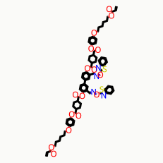 C=CC(=O)OCCCCCCOc1ccc(OC(=O)C2CCC(C(=O)Oc3ccc(-c4ccc(OC(=O)C5CCC(C(=O)Oc6ccc(OCCCCCCOC(=O)C=C)cc6)CC5)c(/C=N/Oc5nc6ccccc6s5)c4)cc3/C=N/Oc3nc4ccccc4s3)CC2)cc1